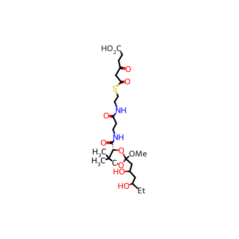 CCC(O)CC(O)CC1(OC)OCC(C)(C)[C@H](C(=O)NCCC(=O)NCCSC(=O)CC(=O)CCC(=O)O)O1